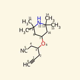 C#CCC(CC#N)OC1CC(C)(C)NC(C)(C)C1